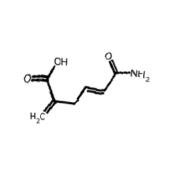 C=C(CC=CC(N)=O)C(=O)O